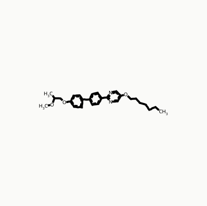 CCCCCCCOc1cnc(-c2ccc(-c3ccc(OCC(C)OC)cc3)cc2)nc1